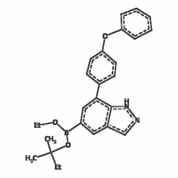 CCOB(OC(C)(C)CC)c1cc(-c2ccc(Oc3ccccc3)cc2)c2[nH]ncc2c1